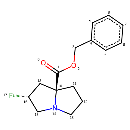 O=C(OCc1ccccc1)[C@@]12CCCN1C[C@H](F)C2